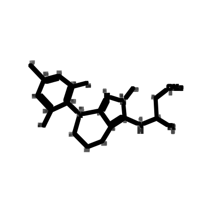 CCC(COC)Nc1c2c(nn1C)N(c1c(C)cc(C)cc1C)CCC2